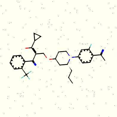 CCC[C@H]1CC(OC/C(C(=N)c2ccccc2C(F)(F)F)=C(/O)C2CC2)CCN1c1ccc(C(C)=N)c(F)c1